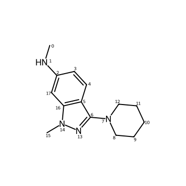 CNc1ccc2c(N3CCCCC3)nn(C)c2c1